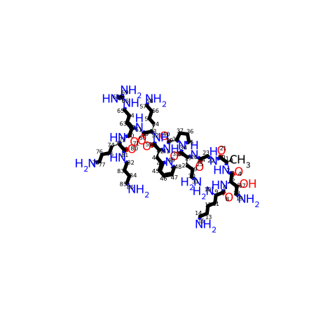 C[C@H](NC(=O)[C@@H](NC(=O)[C@@H](N)CCCCN)[C@@H](O)CN)C(=O)NCC(=O)N[C@H](CCCN)C(=O)N1CCC[C@H]1C(=O)N[C@@H](Cc1ccccn1)C(=O)N[C@@H](CCCCN)C(=O)N/C(=C\CCNC(=N)N)C(=O)N[C@@H](CCCCN)C(=O)NCCCCN